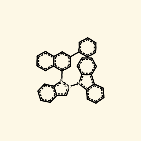 c1ccc(-c2cc(-n3c4ccccc4c[13c]3-n3c4ccccc4c4ccccc43)c3ccccc3c2)cc1